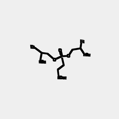 CCCCCCCCCCCCP(=O)(OCC(CC)CCCC)OCC(CC)CCCC